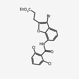 CCOC(=O)CCc1oc2c(NC(=O)c3c(Cl)cccc3Cl)cccc2c1Br